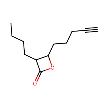 C#CCCCC1OC(=O)C1CCCC